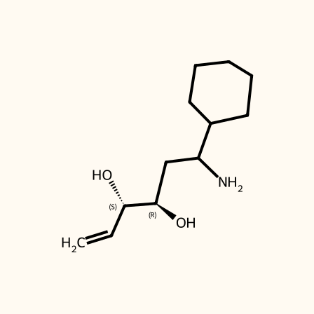 C=C[C@H](O)[C@H](O)CC(N)C1CCCCC1